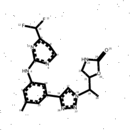 Cc1cc(Nc2nccc(C(F)F)n2)cc(-c2cn(C(C)C3CNC(=O)O3)nn2)c1